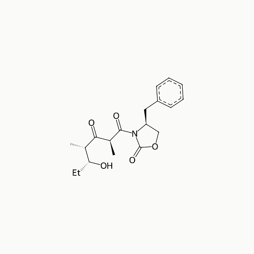 CC[C@@H](O)[C@H](C)C(=O)[C@H](C)C(=O)N1C(=O)OC[C@@H]1Cc1ccccc1